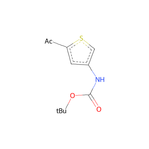 CC(=O)c1cc(NC(=O)OC(C)(C)C)cs1